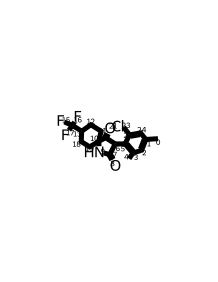 Cc1cc(C)c(C2C(=O)NC3(CCC(C(F)(F)F)CC3)C2=O)c(Cl)c1